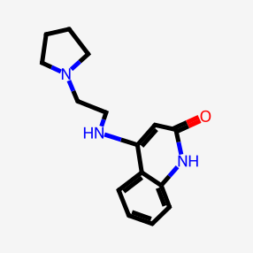 O=c1cc(NCCN2CCCC2)c2ccccc2[nH]1